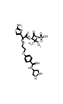 CC1(C)[C@H](NC(=O)C(=NOCCOc2ccc(C(=N)NC3CNNC3)cc2)c2csc(N)n2)C(=O)N1S(=O)(=O)O